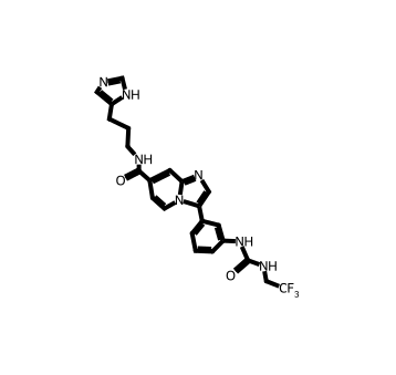 O=C(NCC(F)(F)F)Nc1cccc(-c2cnc3cc(C(=O)NCCCc4cnc[nH]4)ccn23)c1